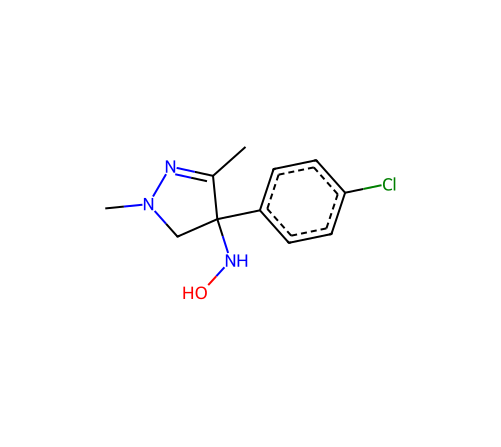 CC1=NN(C)CC1(NO)c1ccc(Cl)cc1